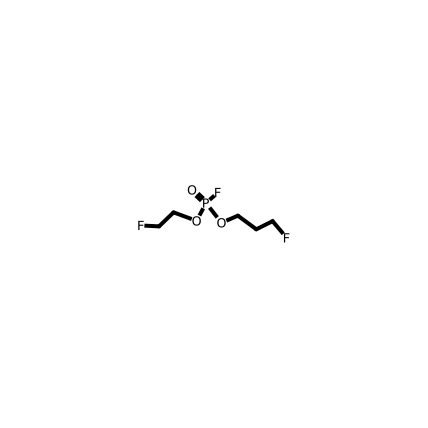 O=P(F)(OCCF)OCCCF